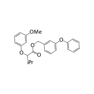 COc1cccc(OC(C(=O)OCc2cccc(Oc3ccccc3)c2)C(C)C)c1